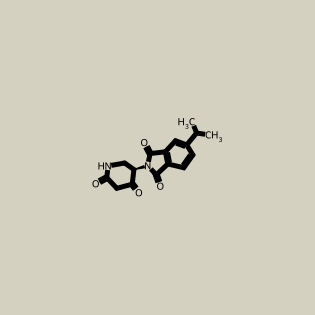 CC(C)c1ccc2c(c1)C(=O)N([C@@H]1CNC(=O)CC1=O)C2=O